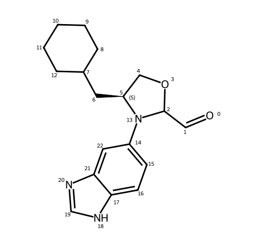 O=CC1OC[C@H](CC2CCCCC2)N1c1ccc2[nH]cnc2c1